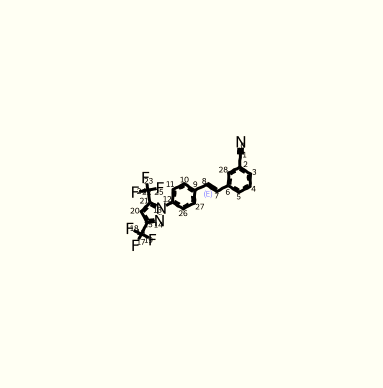 N#Cc1cccc(/C=C/c2ccc(-n3nc(C(F)(F)F)cc3C(F)(F)F)cc2)c1